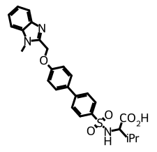 CC(C)C(NS(=O)(=O)c1ccc(-c2ccc(OCc3nc4ccccc4n3C)cc2)cc1)C(=O)O